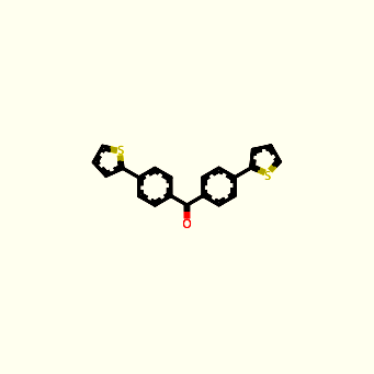 O=C(c1ccc(-c2cccs2)cc1)c1ccc(-c2cccs2)cc1